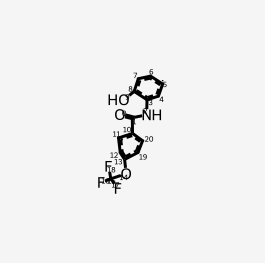 O=C(Nc1c[c]ccc1O)c1ccc(OC(F)(F)F)cc1